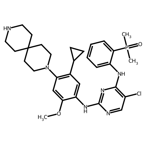 COc1cc(N2CCC3(CCNCC3)CC2)c(C2CC2)cc1Nc1ncc(Cl)c(Nc2ccccc2P(C)(C)=O)n1